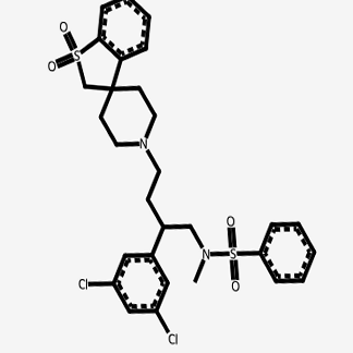 CN(CC(CCN1CCC2(CC1)CS(=O)(=O)c1ccccc12)c1cc(Cl)cc(Cl)c1)S(=O)(=O)c1ccccc1